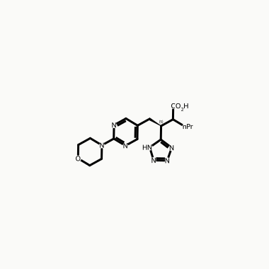 CCCC(C(=O)O)[C@H](Cc1cnc(N2CCOCC2)nc1)c1nnn[nH]1